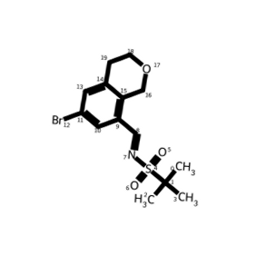 CC(C)(C)S(=O)(=O)N=Cc1cc(Br)cc2c1COCC2